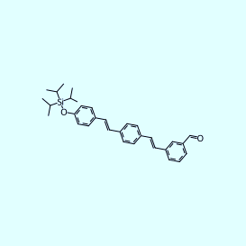 CC(C)[Si](Oc1ccc(/C=C/c2ccc(/C=C/c3cccc(C=O)c3)cc2)cc1)(C(C)C)C(C)C